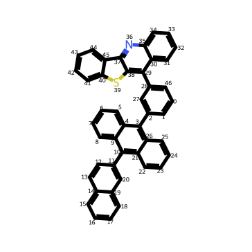 c1cc(-c2c3ccccc3c(-c3ccc4ccccc4c3)c3ccccc23)cc(-c2c3ccccc3nc3c2sc2ccccc23)c1